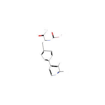 COC(=O)[C@H](Cc1ccc(-c2ccnc(C)c2C)cc1)NC(=O)OC(C)(C)C